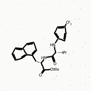 COC(=O)[C@H](Cc1cccc2ccccc12)NC(=O)[C@H](Nc1ccc(C(F)(F)F)cc1)C(C)C